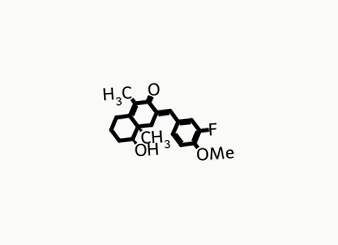 COc1ccc(C=C2C[C@@]3(C)C(=C(C)C2=O)CCC[C@@H]3O)cc1F